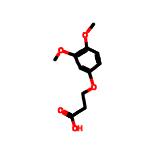 COc1ccc(OCCC(=O)O)cc1OC